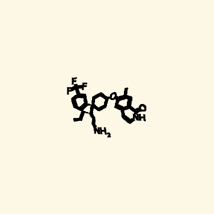 CCC[C@@H](CCN)[C@]1(c2cccc(C(F)(F)F)c2)CC[C@@H](Oc2cc3cc[nH]c(=O)c3cc2C)CC1